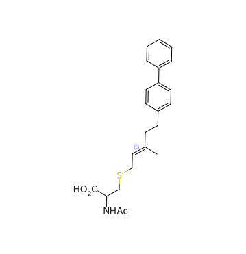 CC(=O)NC(CSC/C=C(\C)CCc1ccc(-c2ccccc2)cc1)C(=O)O